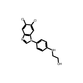 OCCNc1ccc(-n2cnc3cc(Cl)c(Cl)cc32)cc1